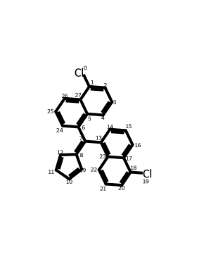 Clc1cccc2c(C(=C3[C]=CC=C3)c3cccc4c(Cl)cccc34)cccc12